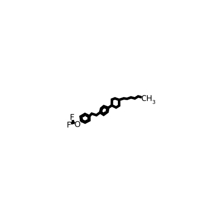 CCCCCCC1CCC(c2ccc(CCc3ccc(OC(F)F)cc3)cc2)CC1